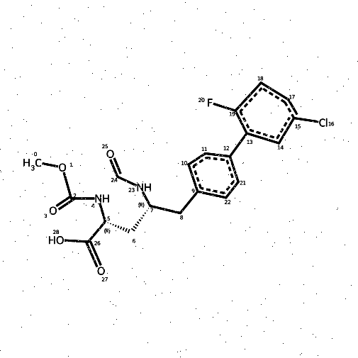 COC(=O)N[C@H](C[C@@H](Cc1ccc(-c2cc(Cl)ccc2F)cc1)NC=O)C(=O)O